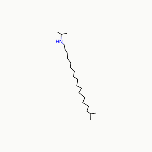 CC(C)CCCCCCCCCCCCCCCCNC(C)C